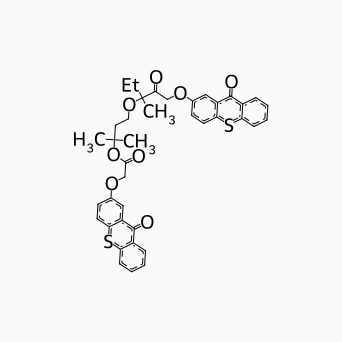 CCC(C)(OCCC(C)(C)OC(=O)COc1ccc2sc3ccccc3c(=O)c2c1)C(=O)COc1ccc2sc3ccccc3c(=O)c2c1